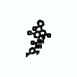 Cn1c(=O)cc(-c2ccccc2Cl)c2cc(Cl)cc(NC(=O)Nc3ccc(F)cc3F)c21